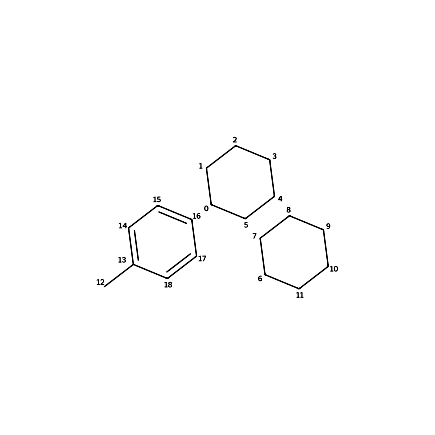 C1CCCCC1.C1CCCCC1.Cc1ccccc1